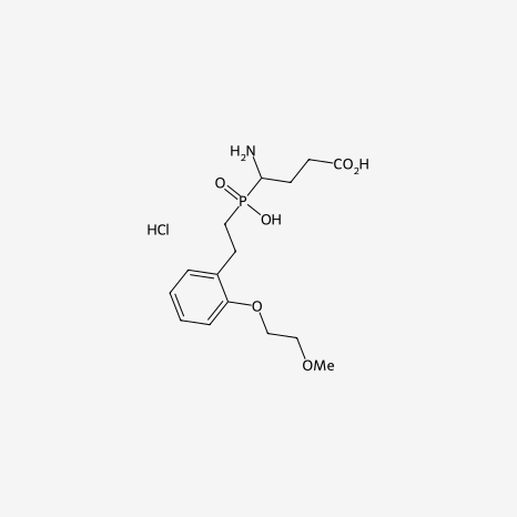 COCCOc1ccccc1CCP(=O)(O)C(N)CCC(=O)O.Cl